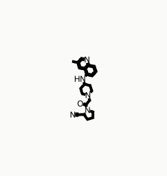 Cc1cnc2cccc(NC3CCN(CC(=O)N4CCCC4C#N)CC3)c2c1